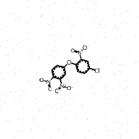 O=[N+]([O-])c1cc(Cl)ccc1Oc1ccc([N+](=O)[O-])c([N+](=O)[O-])c1